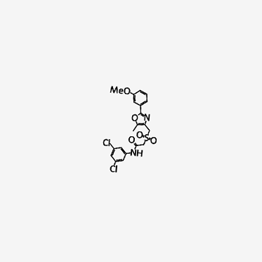 COc1cccc(-c2nc(CS(=O)(=O)CC(=O)Nc3cc(Cl)cc(Cl)c3)c(C)o2)c1